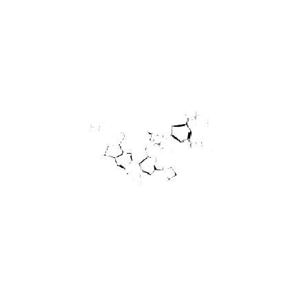 CCOC(=O)CC1CCc2cc(O)c(-c3ccc(N4CCC4)nc3CN3C(=O)O[C@H](c4cc(C(F)(F)F)cc(C(F)(F)F)c4)[C@@H]3C)cc21